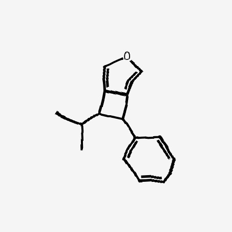 CC(C)C1c2cocc2C1c1ccccc1